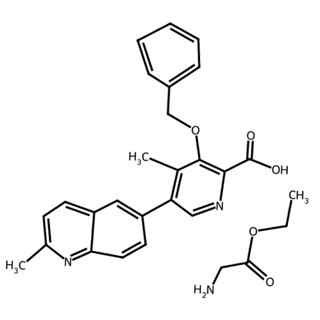 CCOC(=O)CN.Cc1ccc2cc(-c3cnc(C(=O)O)c(OCc4ccccc4)c3C)ccc2n1